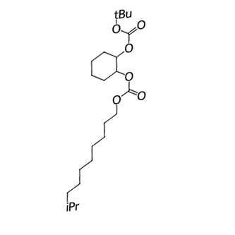 CC(C)CCCCCCCCOC(=O)OC1CCCCC1OC(=O)OC(C)(C)C